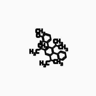 COc1cccc(-c2c(C(C)C)cc(C(C)C)c(-c3ccccc3)c2C(C)C)c1I